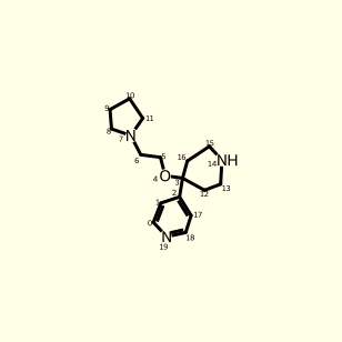 c1cc(C2(OCCN3CCCC3)CCNCC2)ccn1